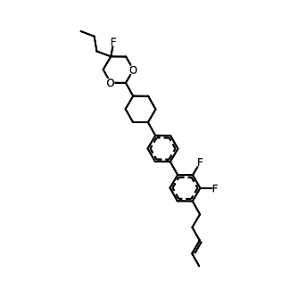 C/C=C/CCc1ccc(-c2ccc(C3CCC(C4OCC(F)(CCC)CO4)CC3)cc2)c(F)c1F